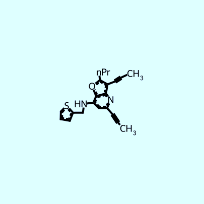 CC#Cc1cc(NCc2cccs2)c2oc(CCC)c(C#CC)c2n1